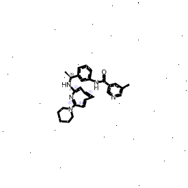 Cc1cncc(C(=O)Nc2cccc([C@H](C)NC3=C/C=C/C=C/C(N4CCCCC4)=N\3)c2)c1